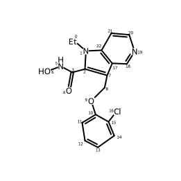 CCn1c(C(=O)NO)c(COc2ccccc2Cl)c2cnccc21